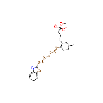 CO[Si](CCCc1cc(C)ccc1SSSSSSSc1nc2ccccc2s1)(OC)OC